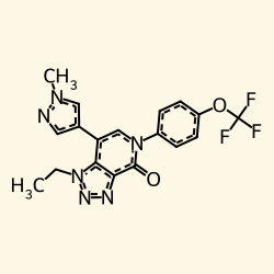 CCn1nnc2c(=O)n(-c3ccc(OC(F)(F)F)cc3)cc(-c3cnn(C)c3)c21